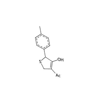 CC(=O)C1=C(O)C(c2ccc(C)cc2)SC1